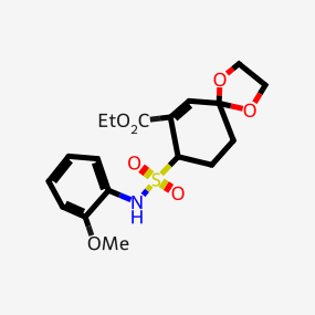 CCOC(=O)C1=CC2(CCC1S(=O)(=O)Nc1ccccc1OC)OCCO2